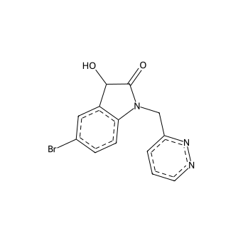 O=C1C(O)c2cc(Br)ccc2N1Cc1cccnn1